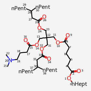 CCCCCCCOC(=O)CCCCC(=O)OCC(COC(=O)CCCN(C)C)(COC(=O)CC(CCCCC)CCCCC)COC(=O)CC(CCCCC)CCCCC